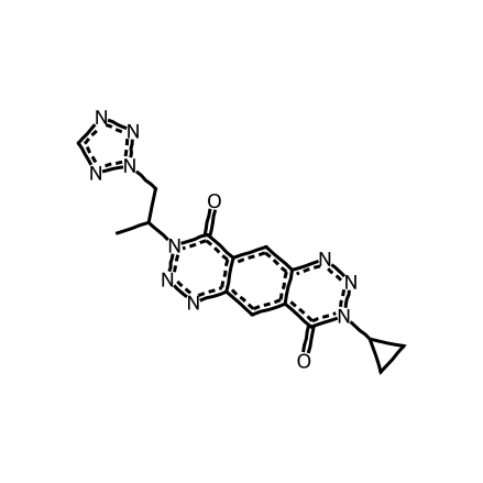 CC(Cn1ncnn1)n1nnc2cc3c(=O)n(C4CC4)nnc3cc2c1=O